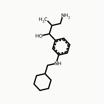 CC(CN)C(O)c1cccc(NCC2CCCCC2)c1